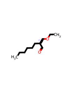 CCCCCC/C(C=O)=C/OCC